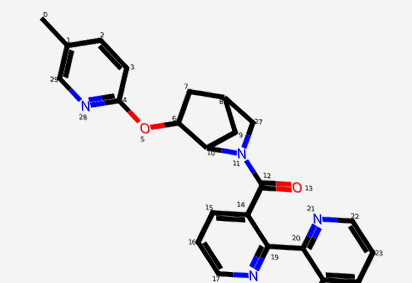 Cc1ccc(OC2CC3CC2N(C(=O)c2cccnc2-c2ncccc2C)C3)nc1